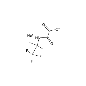 CC(C)(NC(=O)C(=O)[O-])C(F)(F)F.[Na+]